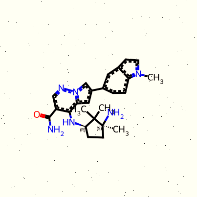 Cn1ccc2cc(-c3cc4c(N[C@@H]5CC[C@](C)(N)C5(C)C)c(C(N)=O)cnn4c3)ccc21